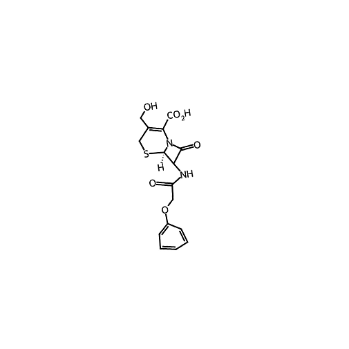 O=C(COc1ccccc1)NC1C(=O)N2C(C(=O)O)=C(CO)CS[C@H]12